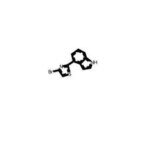 Brc1csc(-c2cccc3[nH]ccc23)n1